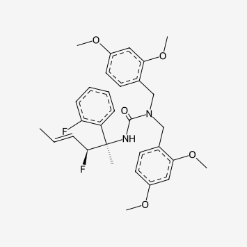 CC=C[C@H](F)[C@](C)(NC(=O)N(Cc1ccc(OC)cc1OC)Cc1ccc(OC)cc1OC)c1ccccc1F